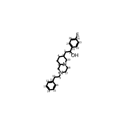 OC(CC1CCC2CN(CCc3ccccc3)CCN2C1)c1ccc(F)cc1